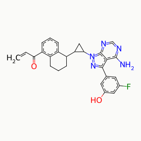 C=CC(=O)c1cccc2c1CCCC2C1CC1n1nc(-c2cc(O)cc(F)c2)c2c(N)ncnc21